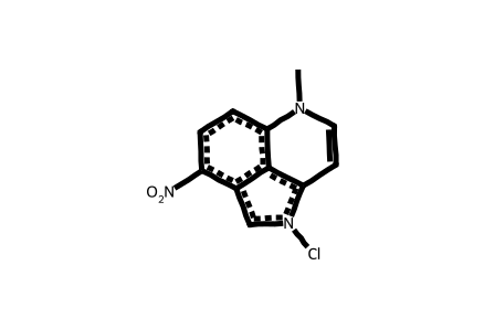 CN1C=Cc2c3c1ccc([N+](=O)[O-])c3cn2Cl